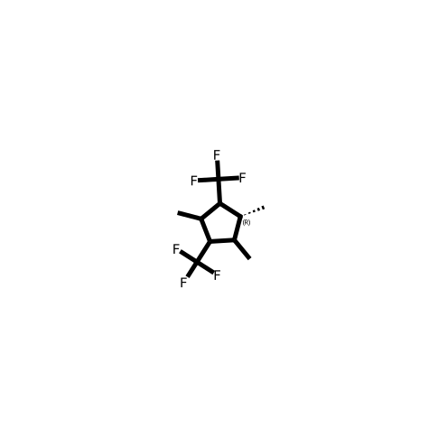 CC1C(C(F)(F)F)C(C)[C@@H](C)C1C(F)(F)F